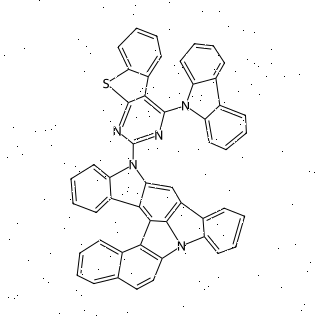 c1ccc2c(c1)ccc1c2c2c3c4ccccc4n(-c4nc(-n5c6ccccc6c6ccccc65)c5c(n4)sc4ccccc45)c3cc3c4ccccc4n1c32